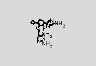 Nc1cnc(-c2ccc(C3CCC3)c(OCCc3cnc(N)nc3N)c2F)cn1